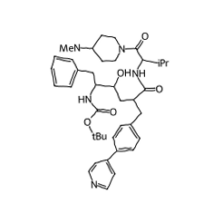 CNC1CCN(C(=O)C(NC(=O)C(Cc2ccc(-c3ccncc3)cc2)CC(O)C(Cc2ccccc2)NC(=O)OC(C)(C)C)C(C)C)CC1